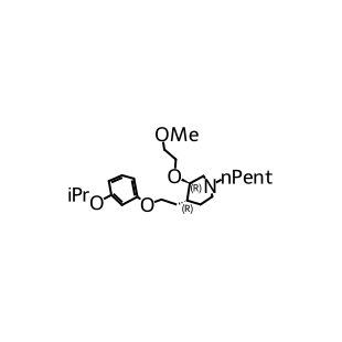 CCCCCN1CC[C@H](CCOc2cccc(OC(C)C)c2)[C@@H](OCCOC)C1